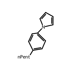 CCCCCc1ccc(-n2cccc2)cc1